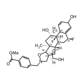 COC(=O)c1ccc(CN2C[C@@H]3C[C@H]4[C@@H]5C[C@H](F)C6=CC(O)C=C[C@]6(C)[C@@]5(F)[C@@H](O)C[C@]4(C)[C@]3(C(=O)CO)O2)cc1